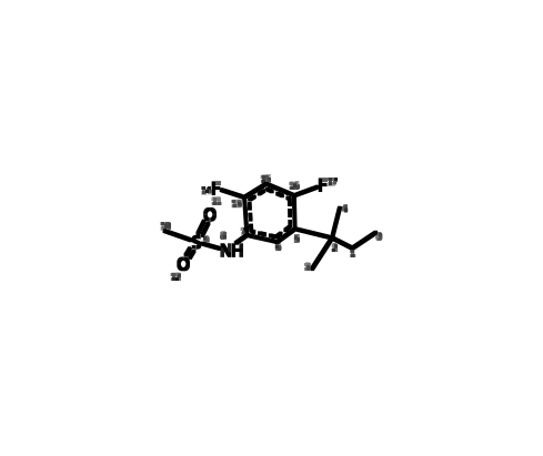 CCC(C)(C)c1cc(NS(C)(=O)=O)c(F)cc1F